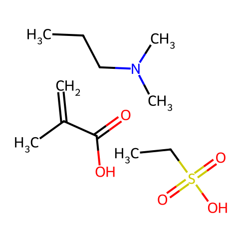 C=C(C)C(=O)O.CCCN(C)C.CCS(=O)(=O)O